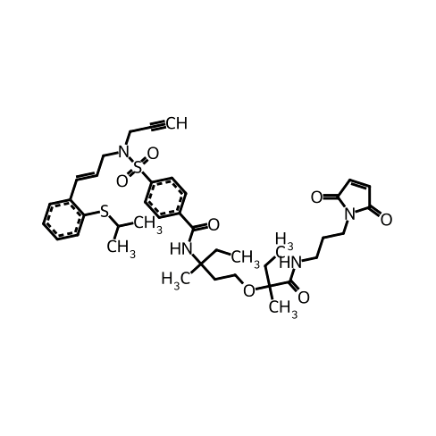 C#CCN(C/C=C/c1ccccc1SC(C)C)S(=O)(=O)c1ccc(C(=O)NC(C)(CC)CCOC(C)(CC)C(=O)NCCCN2C(=O)C=CC2=O)cc1